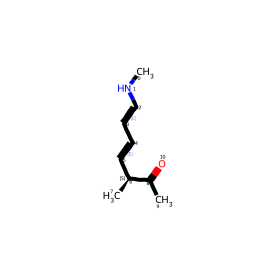 CN/C=C/C=C/[C@H](C)C(C)=O